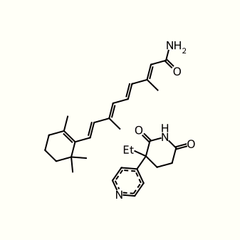 CC1=C(/C=C/C(C)=C/C=C/C(C)=C/C(N)=O)C(C)(C)CCC1.CCC1(c2ccncc2)CCC(=O)NC1=O